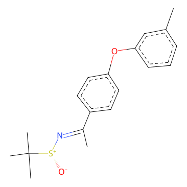 C/C(=N\[S@+]([O-])C(C)(C)C)c1ccc(Oc2cccc(C)c2)cc1